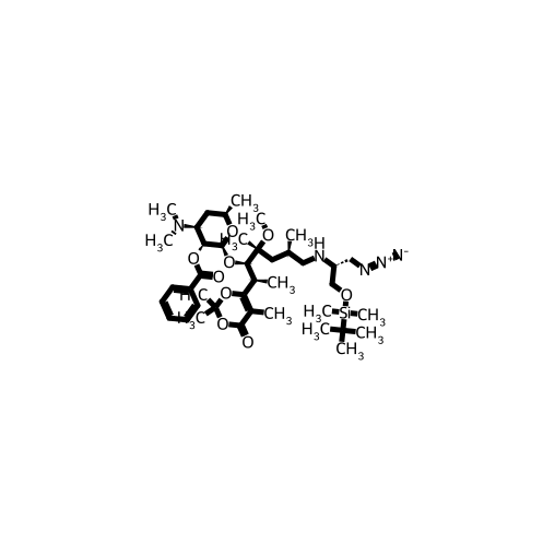 CO[C@](C)(C[C@@H](C)CN[C@H](CN=[N+]=[N-])CO[Si](C)(C)C(C)(C)C)[C@H](O[C@@H]1O[C@H](C)C[C@H](N(C)C)[C@H]1OC(=O)c1ccccc1)[C@@H](C)C1=C(C)C(=O)OC(C)(C)O1